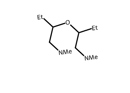 CCC(CNC)OC(CC)CNC